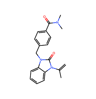 C=C(C)n1c(=O)n(Cc2ccc(C(=O)N(C)C)cc2)c2ccccc21